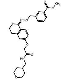 COC(=O)c1cccc(CO/N=C2/CCCc3cc(OCC(=O)NCC4CCOCC4)ccc32)c1